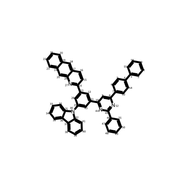 c1ccc(-c2ccc(-c3cc(-c4cc(-c5ccc6cc7ccccc7cc6n5)cc(-n5c6ccccc6c6ccccc65)c4)nc(-c4ccccc4)n3)cc2)cc1